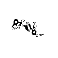 COc1ccc2c(c1)nc(C(F)(F)F)n2-c1cnc(NC(=O)c2cccc(C)c2[N+](=O)[O-])cn1